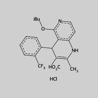 CCC(C)Oc1nccc2c1C(c1ccccc1C(F)(F)F)C(C(=O)O)=C(C)N2.Cl